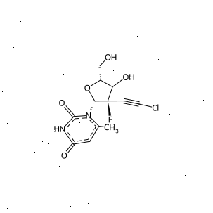 Cc1cc(=O)[nH]c(=O)n1[C@@H]1O[C@H](CO)C(O)[C@]1(F)C#CCl